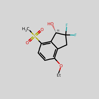 CCOc1ccc(S(C)(=O)=O)c2c1CC(F)(F)[C@H]2O